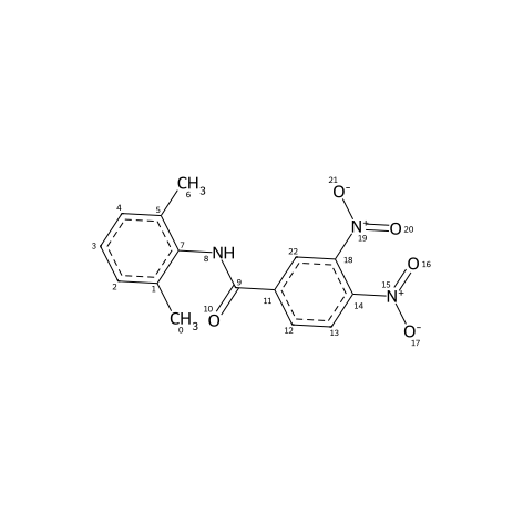 Cc1cccc(C)c1NC(=O)c1ccc([N+](=O)[O-])c([N+](=O)[O-])c1